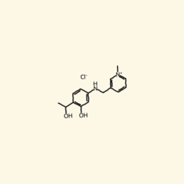 CC(O)c1ccc(NCc2ccc[n+](C)c2)cc1O.[Cl-]